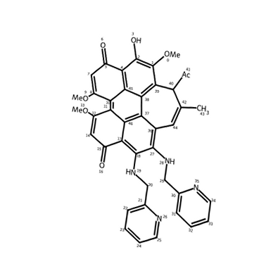 COc1c(O)c2c(=O)cc(OC)c3c4c(OC)cc(=O)c5c(NCc6ccccn6)c(NCc6ccccn6)c6c(c(c1C(C(C)=O)C(C)=C6)c23)c54